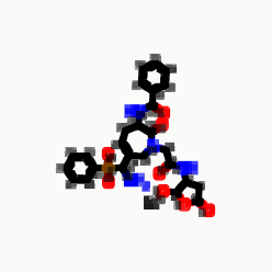 CCOC1OC(=O)CC1NC(=O)CN1CC(C(N)S(=O)(=O)c2ccccc2)=CCC(NC(=O)c2ccccc2)C1=O